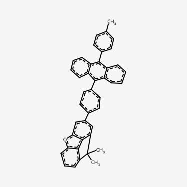 Cc1ccc(-c2c3ccccc3c(-c3ccc(-c4cc5c6c(c4)oc4cccc(c46)C5(C)C)cc3)c3ccccc23)cc1